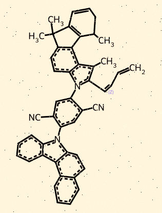 C=C/C=C\c1c(C)c2c3c(ccc2n1-c1cc(C#N)c(-n2c4ccccc4c4c5ccccc5ccc42)cc1C#N)C(C)(C)C1=C3C(C)CC=C1